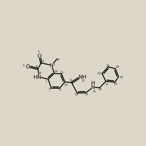 Cn1c(=O)c(=O)[nH]c2ccc(C(=N)/C=C\NCc3ccccc3)cc21